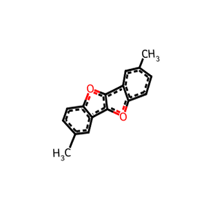 Cc1ccc2oc3c4cc(C)ccc4oc3c2c1